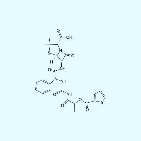 CC(OC(=O)c1cccs1)C(=O)NC(=O)NC(C(=O)N[C@@H]1C(=O)N2[C@@H]1SC(C)(C)[C@@H]2C(=O)O)c1ccccc1